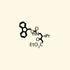 CCOC(=O)CC(=O)[C@@H](CNC(=O)OCC1c2ccccc2-c2ccccc21)C(C)C